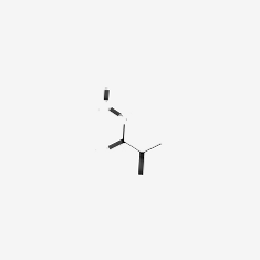 C=C(C)C(=O)N=S=O